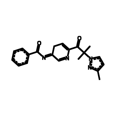 Cc1ccn(C(C)(C)C(=O)C2=CCC(=NC(=O)c3ccccc3)C=N2)n1